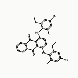 CCc1cc(Br)cc(C)c1Nc1ccc(Nc2c(C)cc(Br)cc2CC)c2c1C(=O)c1ccccc1C2=O